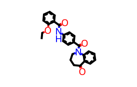 CCOc1ccccc1C(=O)Nc1ccc(C(=O)N2CCCC(=O)c3ccccc32)cc1